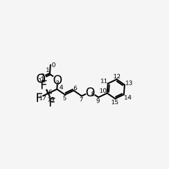 CC(=O)OC(C=CCOCc1ccccc1)C(F)(F)F